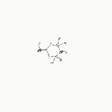 C[N]C1CC(C)(C)N(C)C(C)(C)C1